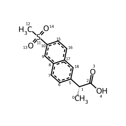 C[C@@H](C(=O)O)c1ccc2cc(S(C)(=O)=O)ccc2c1